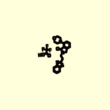 O=C(O)C(F)(F)F.O=C1c2c(cccc2N2CCOCC2)CN1CCc1nc2ccccc2s1